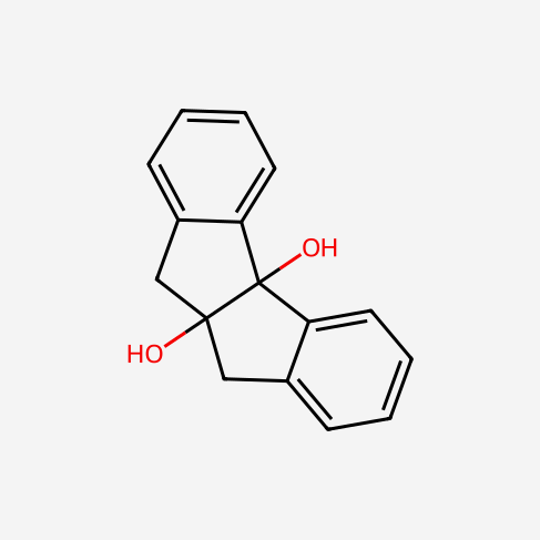 OC12Cc3ccccc3C1(O)c1ccccc1C2